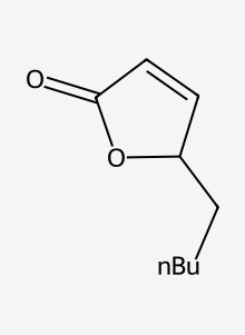 CCCCCC1C=CC(=O)O1